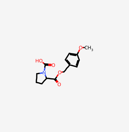 COc1ccc(COC(=O)C2CCCN2C(=O)O)cc1